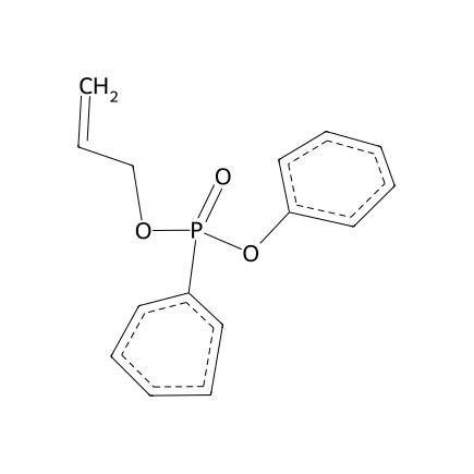 C=CCOP(=O)(Oc1ccccc1)c1ccccc1